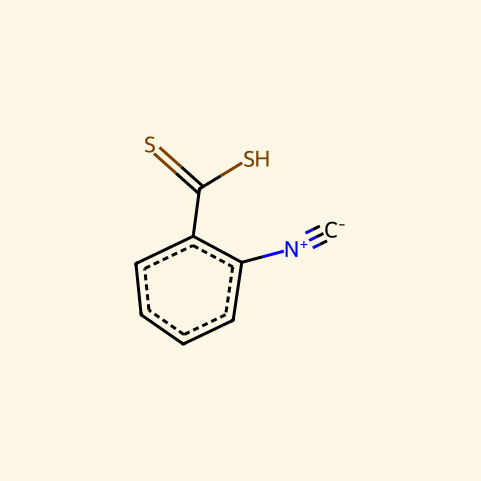 [C-]#[N+]c1ccccc1C(=S)S